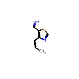 C/C=C\c1ncsc1C=N